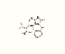 C/N=C(/C)C(=C(C)C)c1cnc2nc(C)n(C(C)c3ccccc3)c2c1C